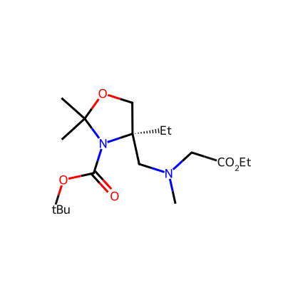 CCOC(=O)CN(C)C[C@]1(CC)COC(C)(C)N1C(=O)OC(C)(C)C